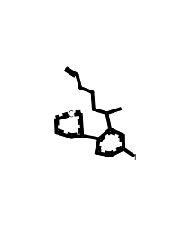 C=CCCCC(C)c1cc(I)ccc1-c1ccccc1